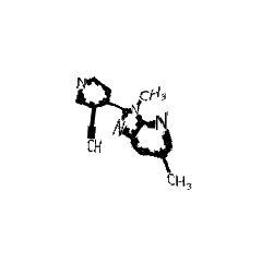 C#Cc1cnccc1-c1nc2cc(C)cnc2n1C